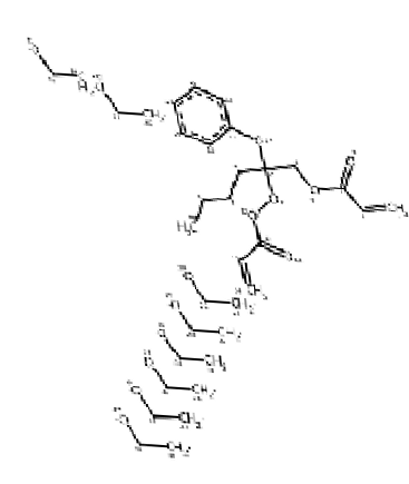 C=CC(=O)OCC(CCCC)(OOC(=O)C=C)Oc1ccccc1.[CH2]C[O].[CH2]C[O].[CH2]C[O].[CH2]C[O].[CH2]C[O].[CH2]C[O].[CH2]C[O].[CH2]C[O]